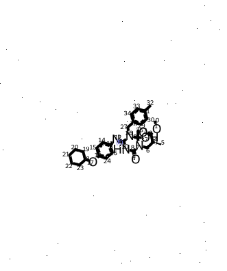 COC(=O)[C@@H](C)CN1C(=O)N/C(=N\c2ccc(OC3CCCCC3)cc2)N(Cc2ccc(C)cc2)C1(C)O